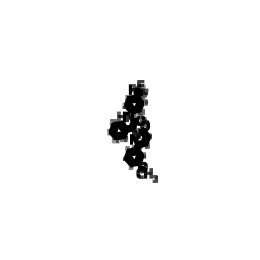 COc1cccc(-c2ccc(=O)n(C(C(=O)Nc3ccc(C(F)(F)F)cc3)c3ccccc3)n2)c1